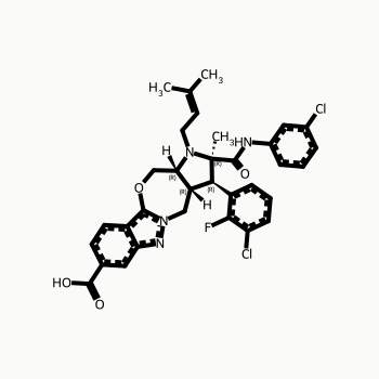 CC(C)=CCN1[C@H]2COc3c4ccc(C(=O)O)cc4nn3C[C@H]2[C@H](c2cccc(Cl)c2F)[C@]1(C)C(=O)Nc1cccc(Cl)c1